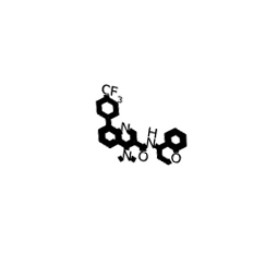 CN(C)c1c(C(=O)NC2CCOc3ccccc32)cnc2c(C3CCC(C(F)(F)F)CC3)cccc12